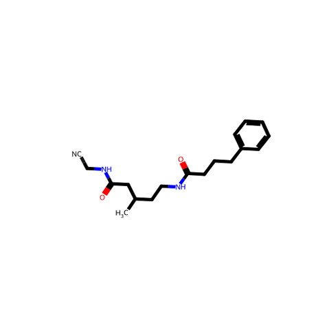 CC(CCNC(=O)CCCc1ccccc1)CC(=O)NCC#N